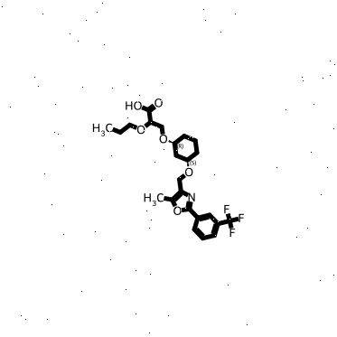 CCCOC(CO[C@@H]1CCC[C@H](OCc2nc(-c3cccc(C(F)(F)F)c3)oc2C)C1)C(=O)O